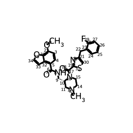 COc1ccc(C(=O)NC[C@H]2CN(C)CCN2C(=O)c2nc(Cc3ccccc3F)cs2)c2ccoc12